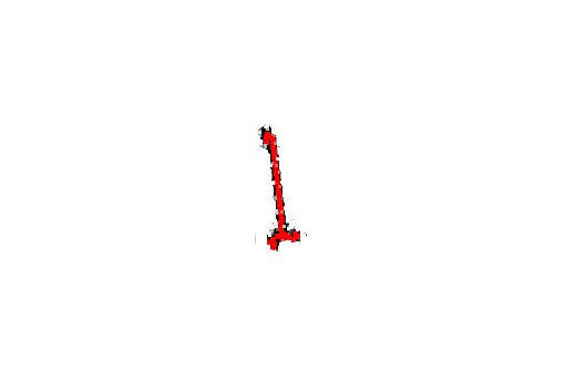 CC(C)(C)N1CCNC(C(=O)N2CCN(C(=O)Nc3ccc(Cl)c(F)c3)C(CCOC(=O)NCCOCCOCCOCCOCCOCCOCCOCCOCCOCCNc3ccc([N+](=O)[O-])cc3[N+](=O)[O-])C2)C1